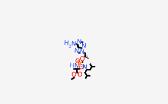 CCOC(=O)C(C)(C)NP(=O)(CO[C@H](C)Cn1cnc2c(N)ncnc21)ON=C(CC(C)C)CC(C)C